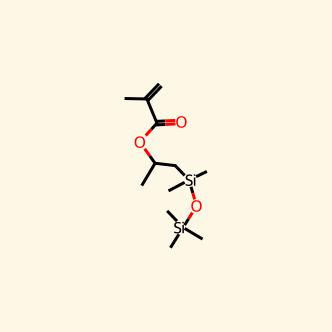 C=C(C)C(=O)OC(C)C[Si](C)(C)O[Si](C)(C)C